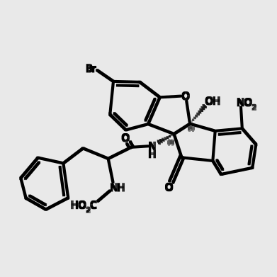 O=C(O)NC(Cc1ccccc1)C(=O)N[C@@]12C(=O)c3cccc([N+](=O)[O-])c3[C@]1(O)Oc1cc(Br)ccc12